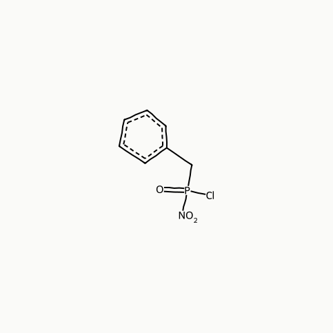 O=[N+]([O-])P(=O)(Cl)Cc1ccccc1